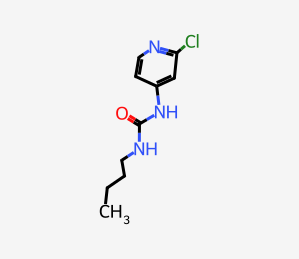 CCCCNC(=O)Nc1ccnc(Cl)c1